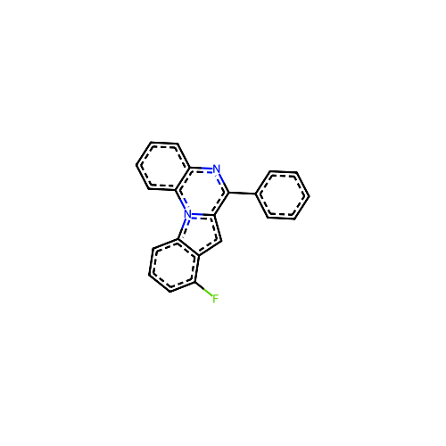 Fc1cccc2c1cc1c(-c3ccccc3)nc3ccccc3n12